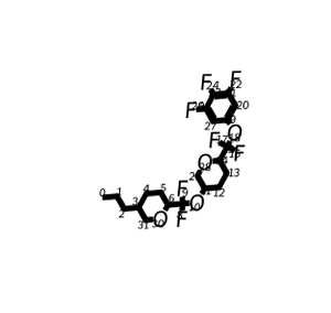 CCCC1CCC(C(F)(F)OC2CCC(C(F)(F)Oc3cc(F)c(F)c(F)c3)OC2)OC1